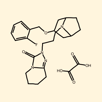 O=C(O)C(=O)O.O=c1n(CCCN2C3CCC2CC(OCc2ccccc2F)C3)nc2n1CCCC2